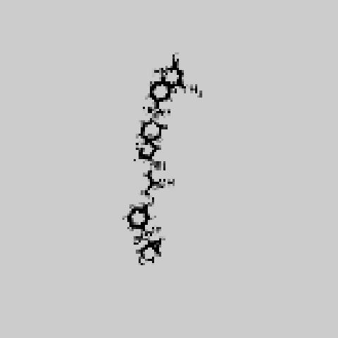 Cc1cc(=O)[nH]c2ccc(S(=O)(=O)N3CCC4(CC3)C[C@@H](NCC(O)COc3cccc(S(=O)(=O)C5(CO)CC5)c3)CO4)cc12